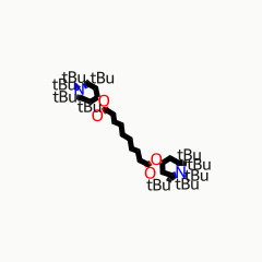 CC(C)(C)N1C(C(C)(C)C)(C(C)(C)C)CC(OC(=O)CCCCCCCCC(=O)OC2CC(C(C)(C)C)(C(C)(C)C)N(C(C)(C)C)C(C(C)(C)C)(C(C)(C)C)C2)CC1(C(C)(C)C)C(C)(C)C